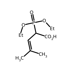 CCOP(=O)(OCC)C(C=C(C)C)C(=O)O